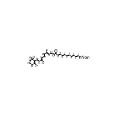 CCCCCCCCCC=CC=CC=CC=CC=CC(=O)OCC=C(C)C=CC=C(C)C=CC1=C(C)CCCC1(C)C